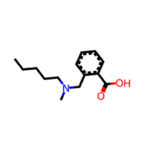 CCCCCN(C)Cc1ccccc1C(=O)O